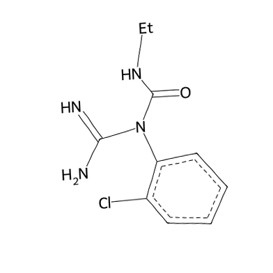 CCNC(=O)N(C(=N)N)c1ccccc1Cl